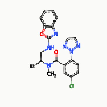 CCC(CNc1nc2ccccc2o1)N(C)C(=O)c1cc(Cl)ccc1-n1nccn1